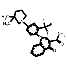 CC1(C)CCCN(c2ccc(-n3cc(C(N)=O)c(=O)c4ccccc43)c(C(F)(F)F)c2)C1